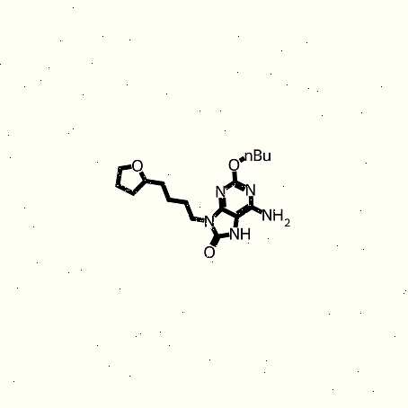 CCCCOc1nc(N)c2[nH]c(=O)n(CCCCC3CCCO3)c2n1